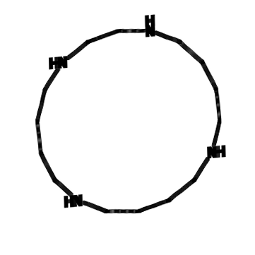 C1CCNCCCCNCCNCCCCNC1